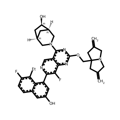 C=C1CN2CC(=C)CC2(COc2nc(N3C[C@@H]4C[C@H](C3)[C@H](O)C4)c3cnc(-c4cc(O)cc5ccc(F)c(CC)c45)c(F)c3n2)C1